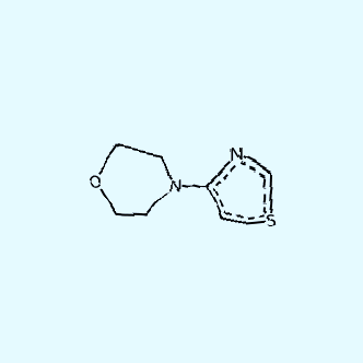 c1nc(N2CCOCC2)cs1